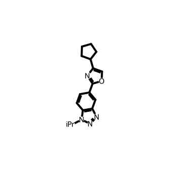 CC(C)n1nnc2cc(-c3nc(C4CCCC4)co3)ccc21